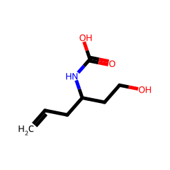 C=CCC(CCO)NC(=O)O